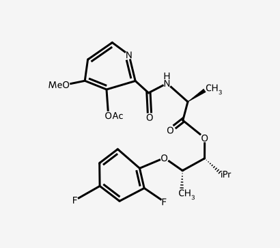 COc1ccnc(C(=O)N[C@@H](C)C(=O)O[C@H](C(C)C)[C@H](C)Oc2ccc(F)cc2F)c1OC(C)=O